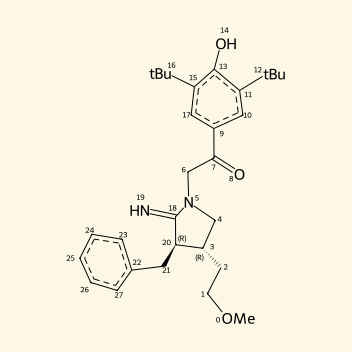 COCC[C@H]1CN(CC(=O)c2cc(C(C)(C)C)c(O)c(C(C)(C)C)c2)C(=N)[C@@H]1Cc1ccccc1